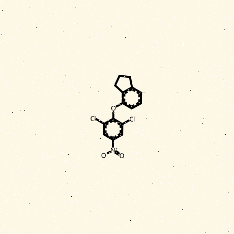 O=[N+]([O-])c1cc(Cl)c(Oc2cc[c]c3c2CCC3)c(Cl)c1